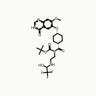 COc1cc2nc[nH]c(=O)c2cc1O[C@H]1CC[C@@H](C(=O)N(CCNC(O)C(F)(F)F)C(=O)OC(C)(C)C)CC1